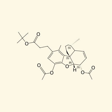 CC(=O)Oc1cc(CCC(=O)OC(C)(C)C)c(C)c2c1O[C@H]1[C@@H](OC(C)=O)C=CC3[C@@H](C)CCC[C@@]231